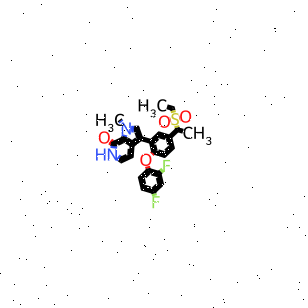 CCS(=O)(=O)C(C)c1ccc(Oc2ccc(F)cc2F)c(-c2cn(C)c3c(=O)[nH]ccc23)c1